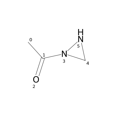 CC(=O)N1CN1